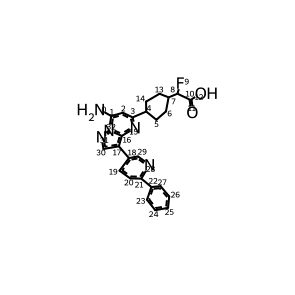 Nc1cc(C2CCC(C(F)C(=O)O)CC2)nc2c(-c3ccc(-c4ccccc4)nc3)cnn12